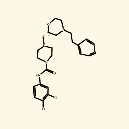 O=C(Nc1ccc(Cl)c(Cl)c1)N1CCN(C[C@H]2CN(CCc3ccccc3)CCO2)CC1